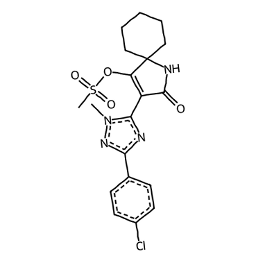 Cn1nc(-c2ccc(Cl)cc2)nc1C1=C(OS(C)(=O)=O)C2(CCCCC2)NC1=O